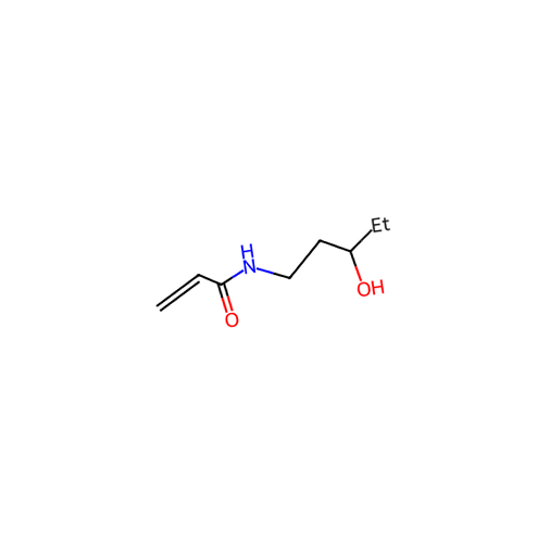 C=CC(=O)NCCC(O)CC